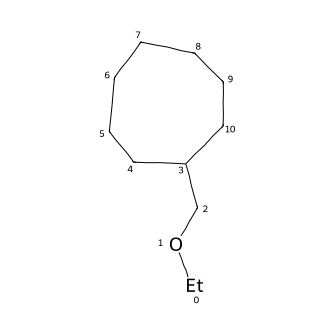 [CH2]COCC1CCCCCCC1